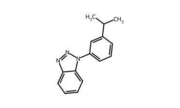 CC(C)c1cccc(-n2nnc3ccccc32)c1